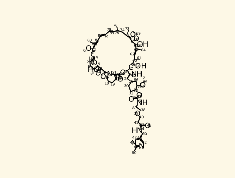 CO[C@H]1C[C@@H]2CC[C@@H](C)[C@@](O)(O2)C(=O)C(=O)N2CCCC[C@H]2C(=O)O[C@H]([C@H](N)C[C@@H]2CC[C@@H](OC(=O)NCCOCCC(=O)NCc3cnc(C)nc3)[C@H](OC)C2)C[C@@H](O)[C@H](C)/C=C(\C)[C@@H](O)[C@@H](OC)C(=O)[C@H](C)C[C@H](C)/C=C/C=C/C=C/1C